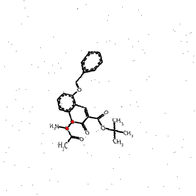 CC(=O)OCc1cccc(OCc2ccccc2)c1C=C(C(=O)OCN)C(=O)OC(C)(C)C